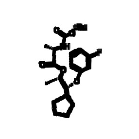 C[C@H](NC(=O)OC(C)(C)C)C(=O)O[C@@H](C)[C@H](Oc1cccc(F)c1)C1CCCC1